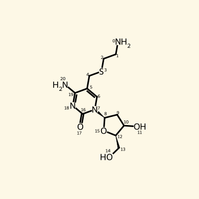 NCCSCc1cn([C@H]2CC(O)[C@@H](CO)O2)c(=O)nc1N